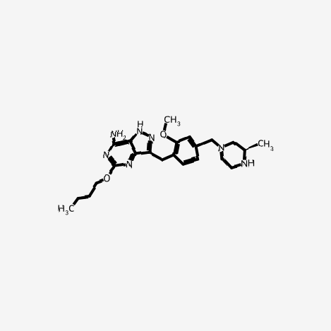 CCCCOc1nc(N)c2[nH]nc(Cc3ccc(CN4CCN[C@H](C)C4)cc3OC)c2n1